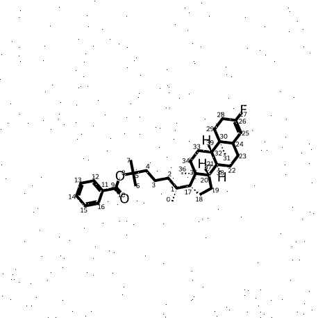 C[C@H](CCCC(C)(C)OC(=O)c1ccccc1)[C@H]1CC[C@H]2[C@@H]3CCC4C=C(F)CC[C@]4(C)[C@H]3CC[C@]12C